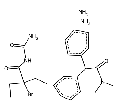 CCC(Br)(CC)C(=O)NC(N)=O.CN(C)C(=O)C(c1ccccc1)c1ccccc1.N.N